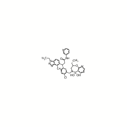 CCC1CN(Cc2cc(C(CC(=O)Nc3cccnc3)c3ccc4c(nnn4CC)c3C)ccc2Cl)S(O)(O)c2cccnc2O1